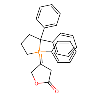 O=C1CC(=P2(c3ccccc3)CCCC2(c2ccccc2)c2ccccc2)CO1